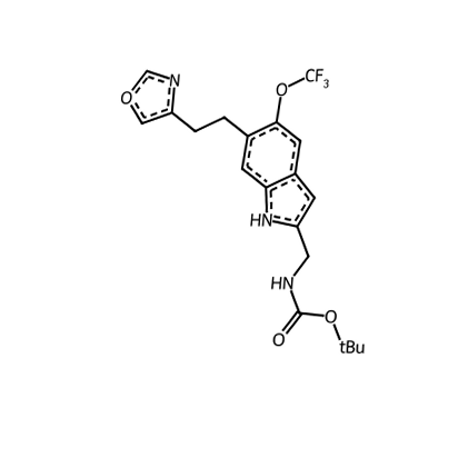 CC(C)(C)OC(=O)NCc1cc2cc(OC(F)(F)F)c(CCc3cocn3)cc2[nH]1